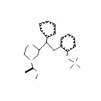 CC(C)(C)OC(=O)N1CCOC(C(Cc2ccccc2O[Si](C)(C)C(C)(C)C)c2ccccc2)C1